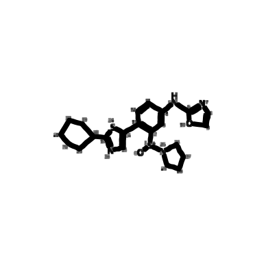 [O-][S+](c1cc(Nc2ncco2)ccc1-c1cnc(C2CCCCC2)s1)N1CCCC1